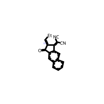 CC/C=C1/C(=O)c2cc3ccccc3cc2C1=C(C#N)C#N